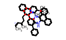 C=C(/C=C\C)CCC1c2ccccc2-c2ccc([Si](C)(C)C)c[n+]2C1CC(=C)N(C)c1c(Nc2cc(-c3ccccc3)ccc2-c2ccccc2)c2ccccc2c2ccccc12